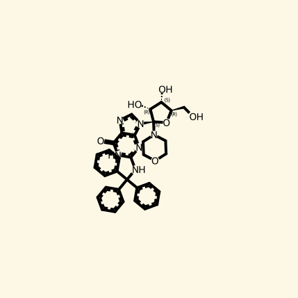 O=c1[nH]c(NC(c2ccccc2)(c2ccccc2)c2ccccc2)nc2c1ncn2[C@]1(N2CCOCC2)O[C@H](CO)[C@@H](O)[C@H]1O